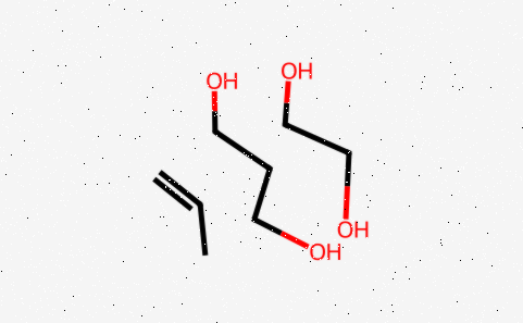 C=CC.OCCCO.OCCO